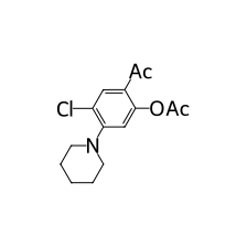 CC(=O)Oc1cc(N2CCCCC2)c(Cl)cc1C(C)=O